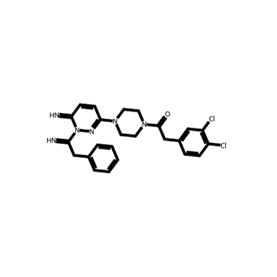 N=C(Cc1ccccc1)n1nc(N2CCN(C(=O)Cc3ccc(Cl)c(Cl)c3)CC2)ccc1=N